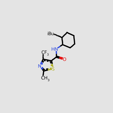 CCC(C)C1CCCCC1NC(=O)c1sc(C)nc1C(F)(F)F